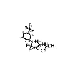 CC(Cl)NC(=O)NC(c1cccc(C(F)(F)F)c1)C(F)(F)F